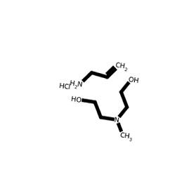 C=CCN.CN(CCO)CCO.Cl